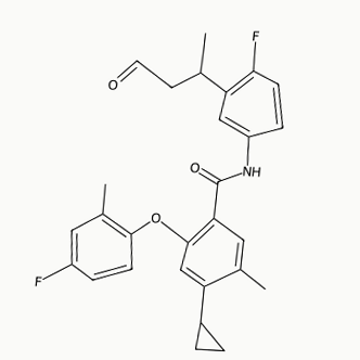 Cc1cc(F)ccc1Oc1cc(C2CC2)c(C)cc1C(=O)Nc1ccc(F)c(C(C)CC=O)c1